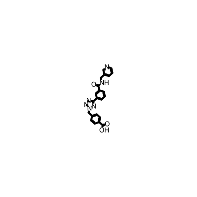 O=C(O)c1ccc(Cn2nnc(-c3cccc(C(=O)NCc4cccnc4)c3)n2)cc1